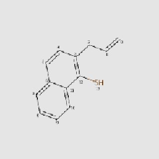 C=CCc1ccc2ccccc2c1S